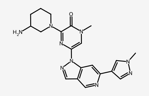 Cn1cc(-c2cc3c(cn2)cnn3-c2cn(C)c(=O)c(N3CCCC(N)C3)n2)cn1